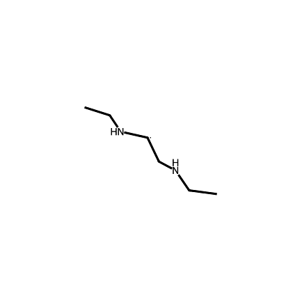 CCN[CH]CNCC